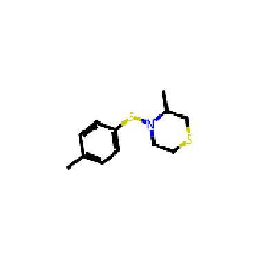 Cc1ccc(SN2CCSCC2C)cc1